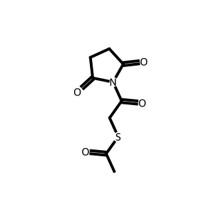 CC(=O)SCC(=O)N1C(=O)CCC1=O